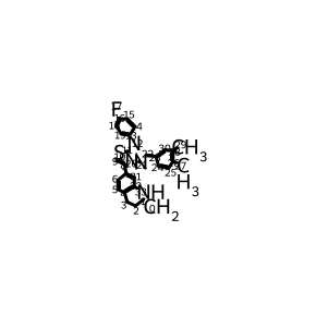 C=C1CCc2ccc(-c3cs/c(=N\c4ccc(F)cc4)n3/N=C/c3ccc(C)c(C)c3)cc2N1